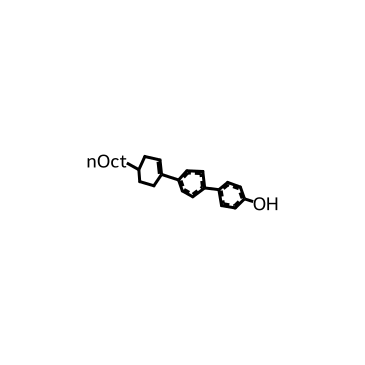 CCCCCCCCC1CC=C(c2ccc(-c3ccc(O)cc3)cc2)CC1